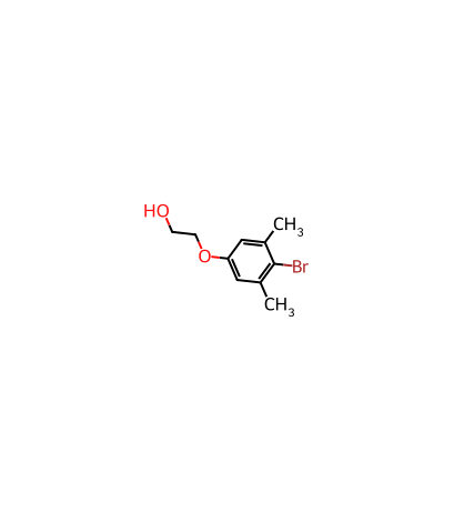 Cc1cc(OCCO)cc(C)c1Br